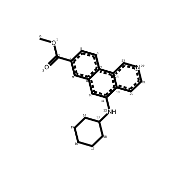 COC(=O)c1ccc2c(c1)cc(NC1CCCCC1)c1ccncc12